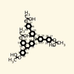 CC(O)Oc1ccc(C(=Cc2ccc(N(c3ccc(-c4ccc(OC(C)O)cc4)cc3)c3ccc(-c4ccc(OC(C)O)cc4)cc3)cc2)c2ccc(OC(C)O)cc2)cc1